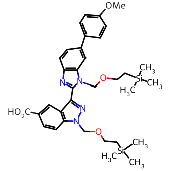 COc1ccc(-c2ccc3nc(-c4nn(COCC[Si](C)(C)C)c5ccc(C(=O)O)cc45)n(COCC[Si](C)(C)C)c3c2)cc1